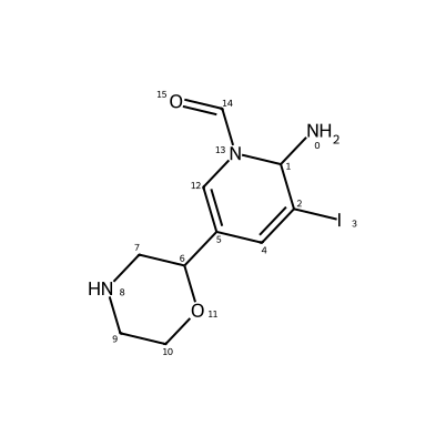 NC1C(I)=CC(C2CNCCO2)=CN1C=O